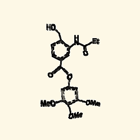 CCC(=O)Nc1cc(C(=O)Oc2cc(OC)c(OC)c(OC)c2)ccc1CO